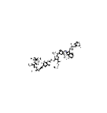 CCOC(=O)c1nc(N(C)c2cc(C)c(/N=c3\sc4ccccc4n3COCC[Si](C)(C)C)nn2)sc1CCCOc1ccc(C#CCN(C)CCN(C)C(=O)OC(C)(C)C)cc1F